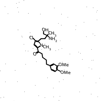 COc1ccc(CCCCC(=O)c2cc(Cl)c(CCC(C)(N)CO)n2C)cc1OC